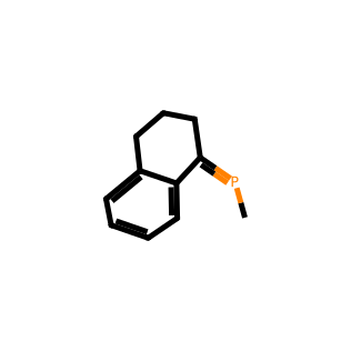 C/P=C1/CCCc2ccccc21